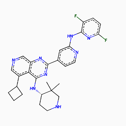 CC1(C)CNCC[C@@H]1Nc1nc(-c2ccnc(Nc3nc(F)ccc3F)c2)nc2cncc(C3CCC3)c12